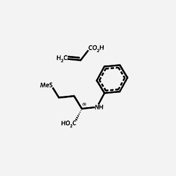 C=CC(=O)O.CSCC[C@H](Nc1ccccc1)C(=O)O